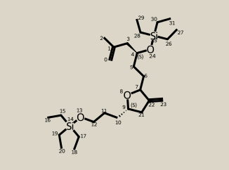 C=C(C)C[C@H](CCC1O[C@@H](CCCO[Si](CC)(CC)CC)CC1=C)O[Si](CC)(CC)CC